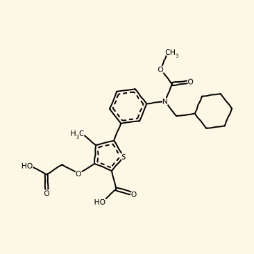 COC(=O)N(CC1CCCCC1)c1cccc(-c2sc(C(=O)O)c(OCC(=O)O)c2C)c1